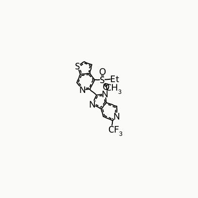 CCS(=O)(=O)c1c(-c2nc3cc(C(F)(F)F)ncc3n2C)ncc2sccc12